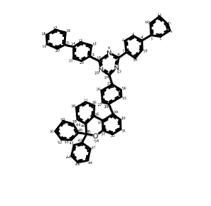 c1ccc(-c2ccc(-c3nc(-c4ccc(-c5ccccc5)cc4)nc(-c4ccc(-c5cccc6c5-c5ccccc5C(c5ccccc5)(c5ccccc5)O6)cc4)n3)cc2)cc1